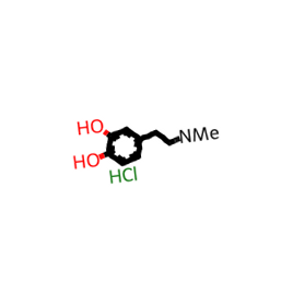 CNCCc1ccc(O)c(O)c1.Cl